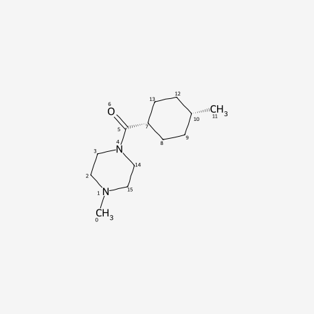 CN1CCN(C(=O)[C@H]2CC[C@@H](C)CC2)CC1